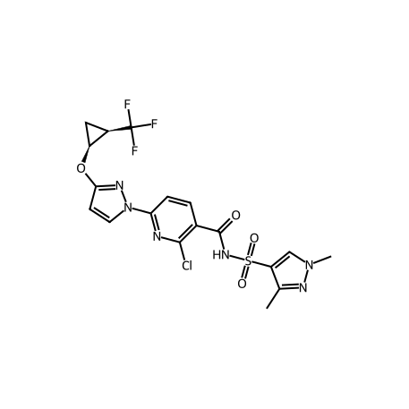 Cc1nn(C)cc1S(=O)(=O)NC(=O)c1ccc(-n2ccc(O[C@H]3C[C@H]3C(F)(F)F)n2)nc1Cl